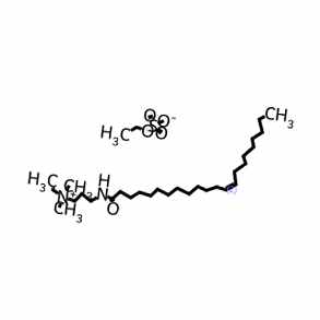 CCCCCCCC/C=C\CCCCCCCCCCCC(=O)NCCC[N+](C)(C)CC.CCOS(=O)(=O)[O-]